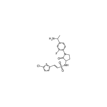 CC(N)c1ccc(N2CCC(NS(=O)(=O)C=Cc3ccc(Cl)s3)C2=O)c(F)c1